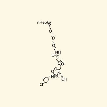 CCCCCCCOCCOCCOCCOCCNC(=O)OCc1cc(CC(=O)N2C[C@H](O)C[C@H]2C(=O)NCc2ccc(Cl)cc2)on1